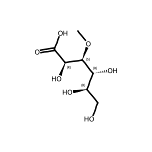 CO[C@@H]([C@H](O)[C@H](O)CO)[C@@H](O)C(=O)O